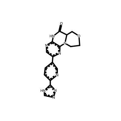 O=C1Nc2ncc(-c3ccc(-c4nnc[nH]4)nc3)nc2N2CCOCC12